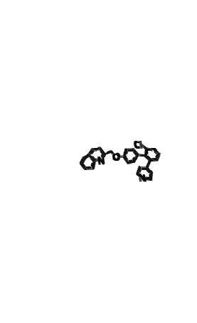 Clc1cccc(-c2ccncc2)c1-c1ccc(OCc2ccc3ccccc3n2)cc1